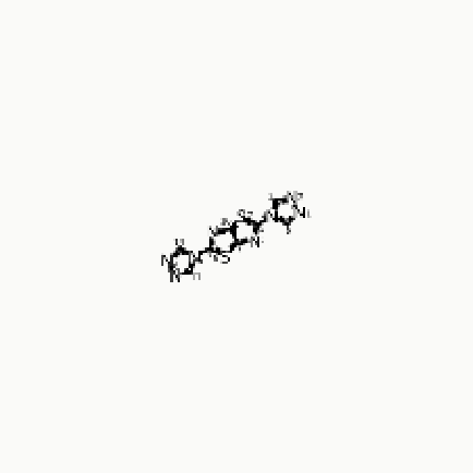 c1nncn1-c1nc2sc(-n3cnnc3)nc2s1